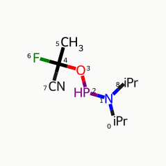 CC(C)N(POC(C)(F)C#N)C(C)C